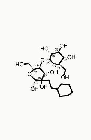 OC[C@H]1O[C@H](O[C@@H]2[C@@H](CO)O[C@@H](O)[C@@](O)(CCC3CCCCC3)[C@H]2O)[C@H](O)[C@@H](O)[C@@H]1O